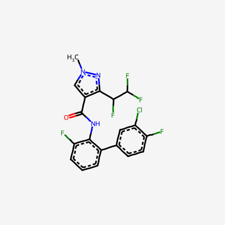 Cn1cc(C(=O)Nc2c(F)cccc2-c2ccc(F)c(Cl)c2)c(C(F)C(F)F)n1